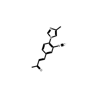 [C-]#[N+]c1cc(/C=C/C(C)=O)ccc1-n1cnc(C)c1